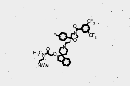 CNCCN(C)C(=O)CO[C@H]1Cc2ccccc2C12CCN(CC[C@]1(c3ccc(F)cc3)CN(C(=O)c3cc(C(F)(F)F)cc(C(F)(F)F)c3)CO1)CC2